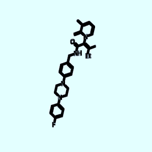 C=C1C(C)=CC=CN1/C(C(=O)NCc1ccc(N2CCN(c3ccc(F)cc3)CC2)cc1)=C(\C)CC